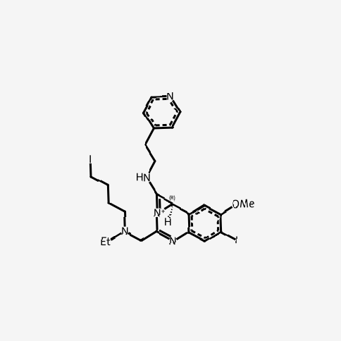 CCN(CCCCI)CC1=Nc2cc(I)c(OC)cc2[C@@H]2C(NCCc3ccncc3)=[N+]12